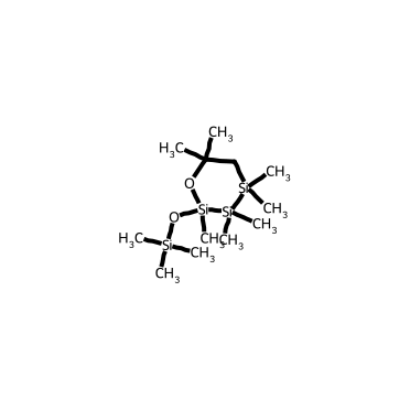 CC1(C)C[Si](C)(C)[Si](C)(C)[Si](C)(O[Si](C)(C)C)O1